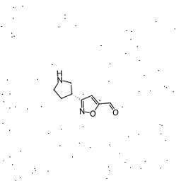 O=Cc1cc([C@@H]2CCNC2)no1